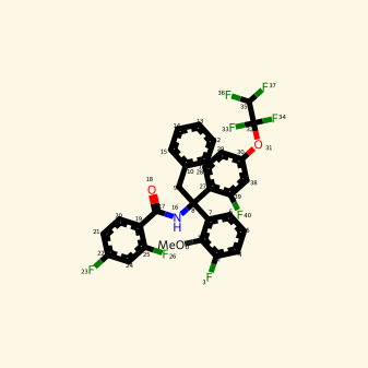 COc1c(F)cccc1C(Cc1ccccc1)(NC(=O)c1ccc(F)cc1F)c1ccc(OC(F)(F)C(F)F)cc1F